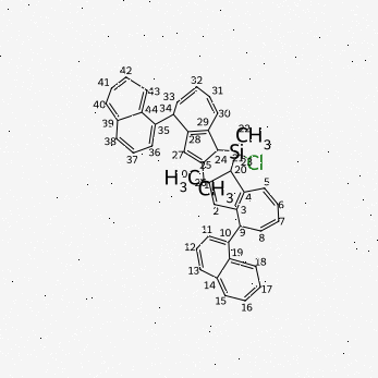 CC1=CC2=C(C=CC=CC2c2cccc3ccccc23)C1[Si](C)(Cl)C1C(C)=CC2=C1C=CC=CC2c1cccc2ccccc12